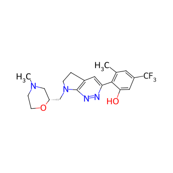 Cc1cc(C(F)(F)F)cc(O)c1-c1cc2c(nn1)N(C[C@H]1CN(C)CCO1)CC2